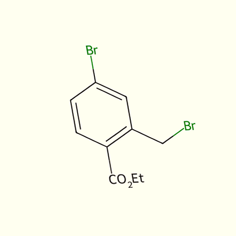 CCOC(=O)c1ccc(Br)cc1CBr